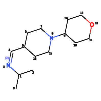 CC(C)/N=C\C1CCN(C2CCOCC2)CC1